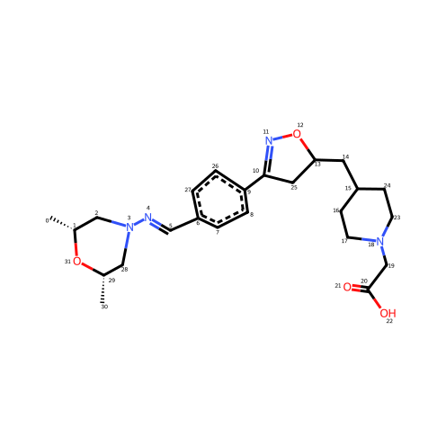 C[C@@H]1CN(N=Cc2ccc(C3=NOC(CC4CCN(CC(=O)O)CC4)C3)cc2)C[C@H](C)O1